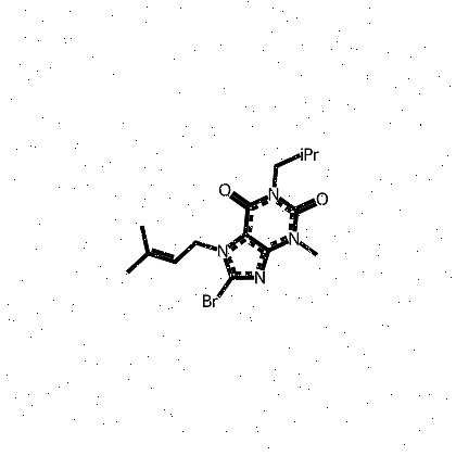 CC(C)=CCn1c(Br)nc2c1c(=O)n(CC(C)C)c(=O)n2C